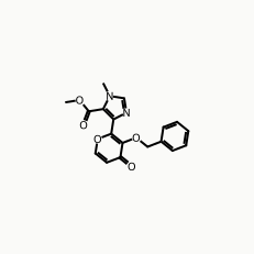 COC(=O)c1c(-c2occc(=O)c2OCc2ccccc2)ncn1C